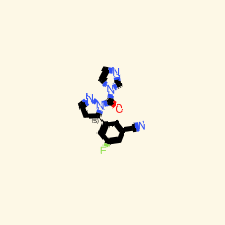 N#Cc1cc(F)cc([C@@H]2CC=NN2C(=O)n2ccnc2)c1